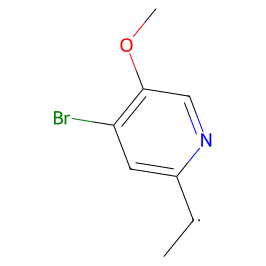 C[CH]c1cc(Br)c(OC)cn1